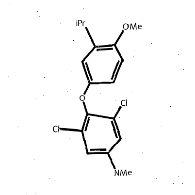 CNc1cc(Cl)c(Oc2ccc(OC)c(C(C)C)c2)c(Cl)c1